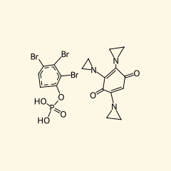 O=C1C=C(N2CC2)C(=O)C(N2CC2)=C1N1CC1.O=P(O)(O)Oc1ccc(Br)c(Br)c1Br